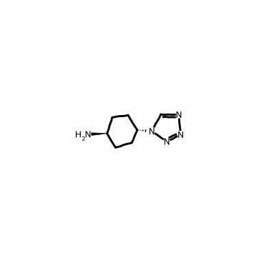 N[C@H]1CC[C@H](n2cnnn2)CC1